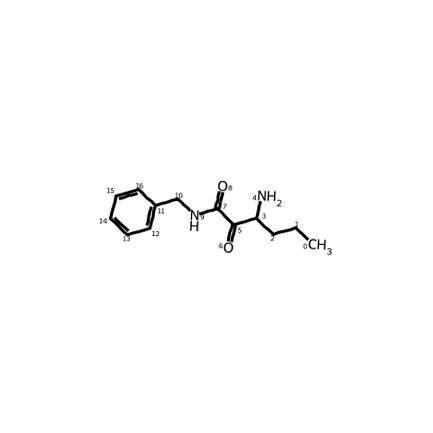 CCCC(N)C(=O)C(=O)NCc1ccccc1